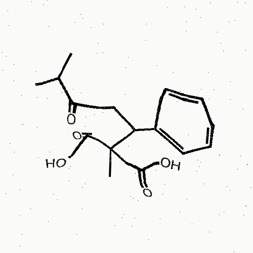 CC(C)C(=O)CC(c1ccccc1)C(C)(C(=O)O)C(=O)O